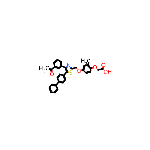 CC(=O)c1cccc(-c2nc(COc3ccc(OCC(=O)O)c(C)c3)sc2-c2ccc(-c3ccccc3)cc2)c1